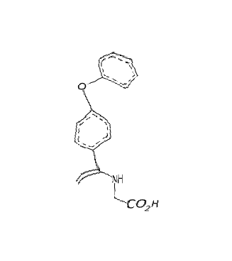 C=C(NCC(=O)O)c1ccc(Oc2ccccc2)cc1